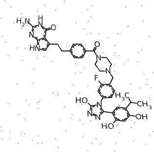 CC(C)c1cc(-c2nnc(O)n2-c2ccc(CN3CCN(C(=O)c4ccc(CCc5c[nH]c6nc(N)[nH]c(=O)c56)cc4)CC3)c(F)c2)c(O)cc1O